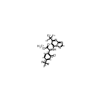 COC(=O)C(Nc1cc(C(F)(F)F)nc2ncnn12)c1ccc(C(F)(F)F)cc1Cl